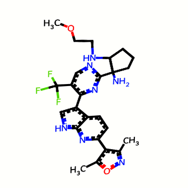 COCCNC1CCCC1(N)c1ncc(C(F)(F)F)c(-c2c[nH]c3nc(-c4c(C)noc4C)ccc23)n1